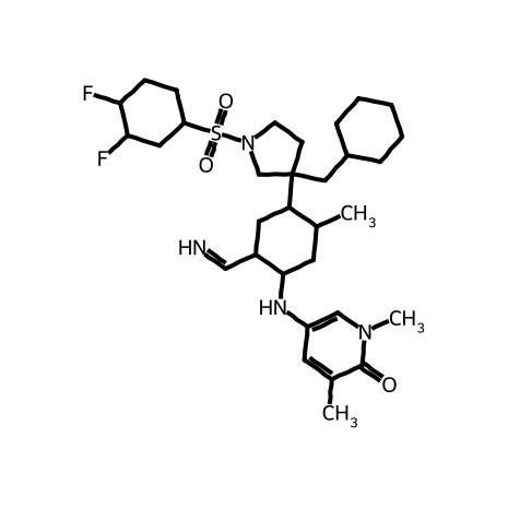 Cc1cc(NC2CC(C)C(C3(CC4CCCCC4)CCN(S(=O)(=O)C4CCC(F)C(F)C4)C3)CC2C=N)cn(C)c1=O